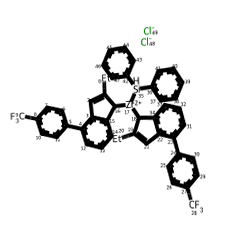 CCC1=Cc2c(-c3ccc(C(F)(F)F)cc3)cccc2[CH]1[Zr+2]([CH]1C(CC)=Cc2c(-c3ccc(C(F)(F)F)cc3)cccc21)[SiH](c1ccccc1)c1ccccc1.[Cl-].[Cl-]